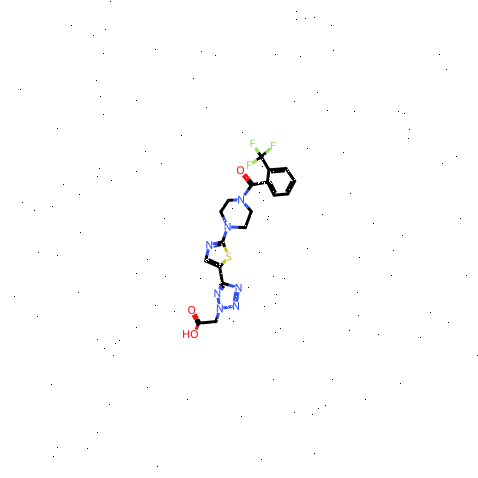 O=C(O)Cn1nnc(-c2cnc(N3CCN(C(=O)c4ccccc4C(F)(F)F)CC3)s2)n1